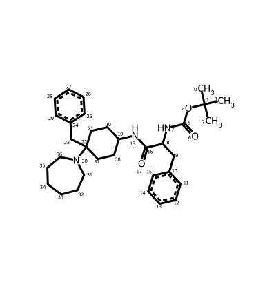 CC(C)(C)OC(=O)NC(Cc1ccccc1)C(=O)NC1CCC(Cc2ccccc2)(N2CCCCCC2)CC1